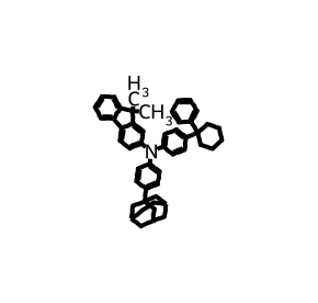 CC1(C)c2ccccc2-c2ccc(N(c3ccc(C45CC6CC(CC(C6)C4)C5)cc3)c3ccc(C4(c5ccccc5)CCCCC4)cc3)cc21